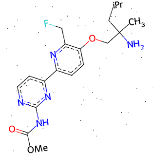 COC(=O)Nc1nccc(-c2ccc(OCC(C)(N)CC(C)C)c(CF)n2)n1